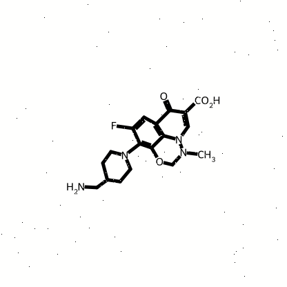 CN1COc2c(N3CCC(CN)CC3)c(F)cc3c(=O)c(C(=O)O)cn1c23